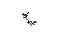 C[C@@H](NC(=O)OC(C)(C)C)C(=O)N[C@H](C)C(=O)NCCc1ccc(NC(=O)CN(Cc2ccccn2)Cc2ccccn2)cc1